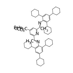 CC(=Nc1c(C2CCCCC2)cc(C2CCCCC2)cc1C1CCCCC1)c1cc(C)cc(C(C)=Nc2c(C3CCCCC3)cc(C3CCCCC3)cc2C2CCCCC2)n1.[Cl-].[Cl-].[Cl-].[Fe+3]